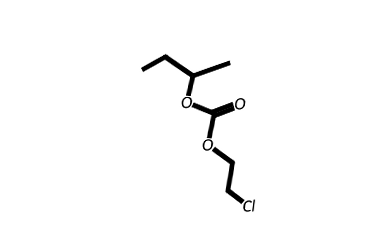 CCC(C)OC(=O)OCCCl